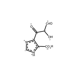 O=CC(O)C(=O)c1nc[nH]c1C(=O)O